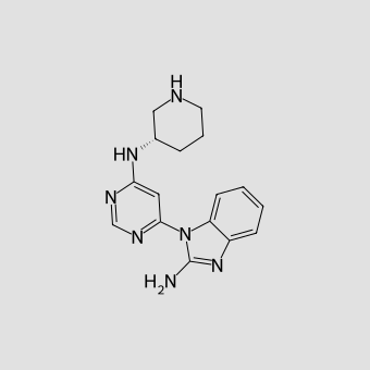 Nc1nc2ccccc2n1-c1cc(N[C@H]2CCCNC2)ncn1